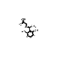 CC(=NCC(=O)O)c1c(O)cccc1O